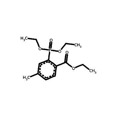 CCOC(=O)c1ccc(C)cc1P(=O)(OCC)OCC